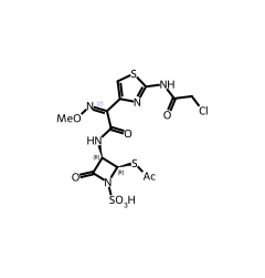 CO/N=C(\C(=O)N[C@@H]1C(=O)N(S(=O)(=O)O)[C@@H]1SC(C)=O)c1csc(NC(=O)CCl)n1